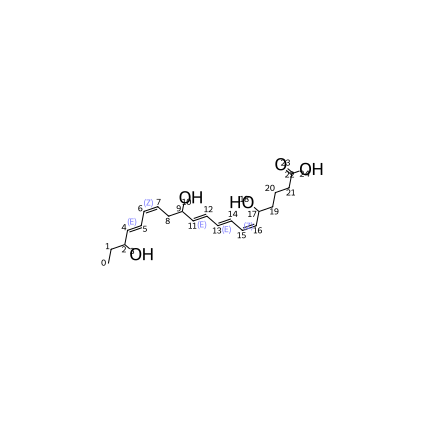 CCC(O)/C=C/C=C\CC(O)/C=C/C=C/C=C\C(O)CCCC(=O)O